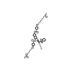 C=CC(=O)CCCCCCCCOc1ccc(C(=O)Oc2ccc3cc(OC(=O)c4ccc(OCCCCCCOC(=O)C=C)cc4)c(/C=N/N(CCCCCC)c4nc5ccccc5s4)cc3c2)cc1